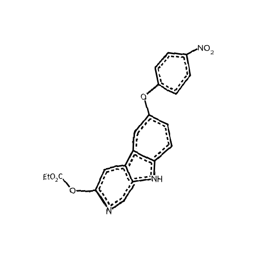 CCOC(=O)Oc1cc2c(cn1)[nH]c1ccc(Oc3ccc([N+](=O)[O-])cc3)cc12